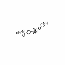 CCCN(C)C(=O)c1ccc(-c2nc(COC3CCNCC3)no2)cc1